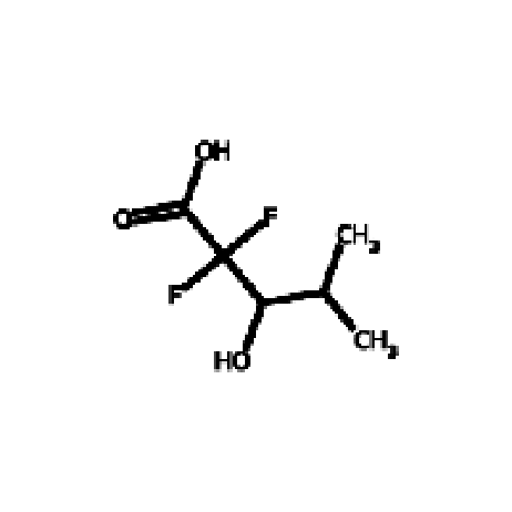 CC(C)C(O)C(F)(F)C(=O)O